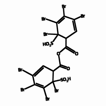 O=C(OC(=O)C1C=C(Br)C(Br)=C(Br)C1(Br)S(=O)(=O)O)C1C=C(Br)C(Br)=C(Br)C1(Br)S(=O)(=O)O